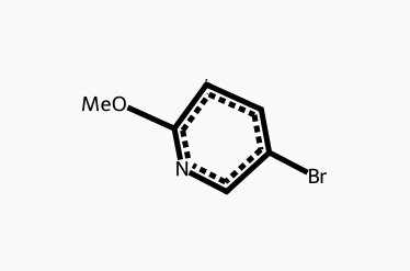 COc1[c]cc(Br)cn1